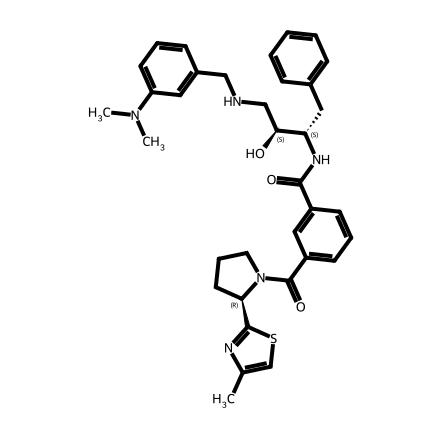 Cc1csc([C@H]2CCCN2C(=O)c2cccc(C(=O)N[C@@H](Cc3ccccc3)[C@@H](O)CNCc3cccc(N(C)C)c3)c2)n1